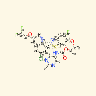 Cc1ncc(NC(=O)OC(C)C(C)Oc2cc3sc(-c4cc(Cl)cc5cc(OCC(F)F)cnc45)nc3cc2F)cn1